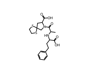 CC(NC(CCc1ccccc1)C(=O)O)C(=O)N1CC2(CC1C(=O)O)SCCS2